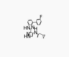 C=C(CC1CC1)Nc1c[nH]nc1-c1nc2c(-c3cccc(F)c3)cccc2[nH]1